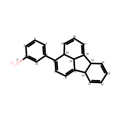 Bc1cccc(C2=CC=C3C4C=CC=CC4C4=CC=CC2C43)c1